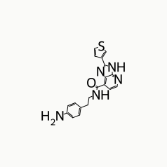 Nc1ccc(CCNC(=O)c2ccnc3[nH]c(-c4ccsc4)nc23)cc1